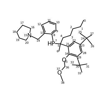 CCCCCC(C)(Pc1ccccc1CN1CCCCC1)c1cc(C(C)(C)C)cc(C(C)(C)C)c1OCOC